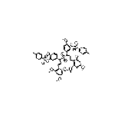 COc1cc(OC)c(C=CC(c2ccc(OC)c(OS(=O)(=O)c3ccc(C)cc3)c2)S(=O)(=O)C(C=Cc2c(OC)cc(OC)cc2OC)c2ccc(OC)c(OS(=O)(=O)c3ccc(C)cc3)c2)c(OC)c1